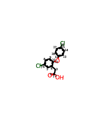 O=C(O)Cc1cc(Cl)ccc1Oc1ccc(Cl)cc1